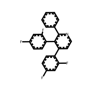 Fc1ccc(-c2ccnc(-c3ccccc3)c2-c2ccc(F)cc2F)c(F)c1